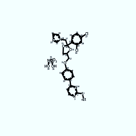 CCSc1nccc(-c2ccc(OCC3COC(Cn4ccnc4)(c4ccc(Cl)cc4Cl)O3)cc2)n1.O=[N+]([O-])O.O=[N+]([O-])O